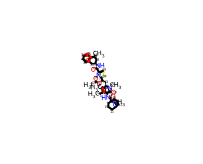 CC[C@H](C)[C@H](NC(=O)C12CCCC(CCC1)N2C)C(=O)N(C)[C@H](C[C@@H](OC(C)=O)c1nc(C(=O)N[C@@H](Cc2ccccc2)C[C@H](C)C(=O)O)cs1)C(C)C